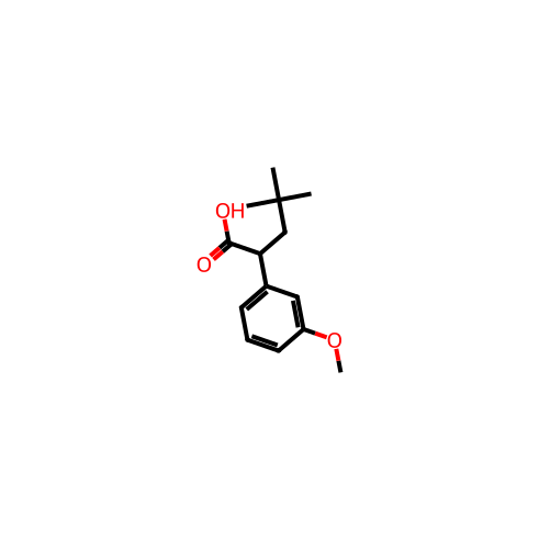 COc1cccc(C(CC(C)(C)C)C(=O)O)c1